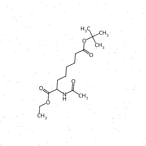 CCOC(=O)C(CCCCCC(=O)OC(C)(C)C)NC(C)=O